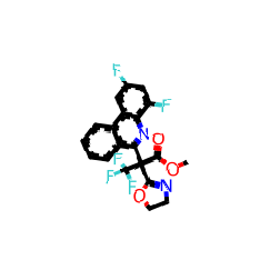 COC(=O)C(C1=NCCO1)(c1nc2c(F)cc(F)cc2c2ccccc12)C(F)(F)F